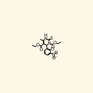 CCOC(=O)C1=C(C)NC(=S)N(C(=O)OCC)C1c1cccc([N+](=O)[O-])c1Cl